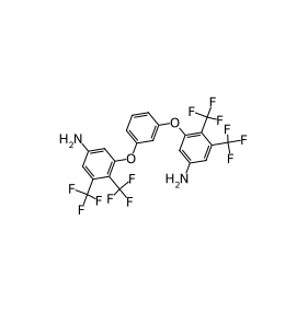 Nc1cc(Oc2cccc(Oc3cc(N)cc(C(F)(F)F)c3C(F)(F)F)c2)c(C(F)(F)F)c(C(F)(F)F)c1